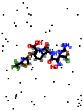 Nc1nc(/C(=N/O)C(=O)NC2C(=O)N3C(C(=O)O)=C(SC4CSC(C(F)(F)F)=N4)CCC23)c(Cl)s1